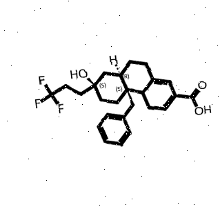 O=C(O)C1=CCC2C(=C1)CC[C@@H]1C[C@@](O)(CCC(F)(F)F)CC[C@@]21Cc1ccccc1